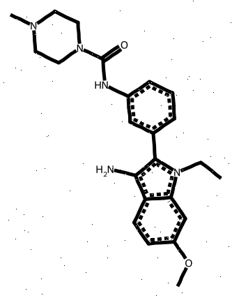 CCn1c(-c2cccc(NC(=O)N3CCN(C)CC3)c2)c(N)c2ccc(OC)cc21